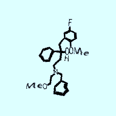 COCCN(CCC(O)(Cc1cc(F)ccc1OC)c1ccccc1)Cc1ccccc1